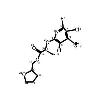 C[C@H](Oc1nc(F)c(Cl)c(N)c1Cl)C(=O)OCC1CCCO1